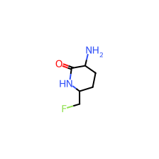 NC1CCC(CF)NC1=O